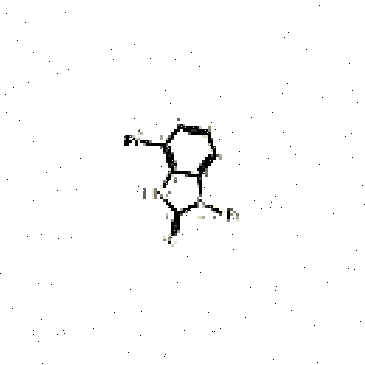 CC(C)c1cccc2c1[nH]c(=O)n2C(C)C